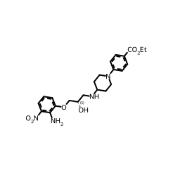 CCOC(=O)c1ccc(N2CCC(NC[C@H](O)COc3cccc([N+](=O)[O-])c3N)CC2)cc1